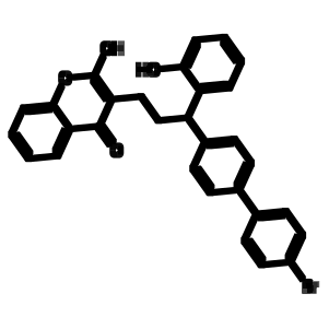 O=c1c(CCC(c2ccc(-c3ccc(Br)cc3)cc2)c2ccccc2O)c(O)oc2ccccc12